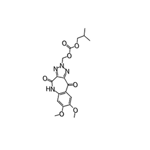 COc1cc2[nH]c(=O)c3nn(COC(=O)OCC(C)C)nc3c(=O)c2cc1OC